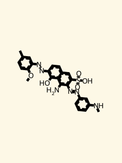 CNc1cccc(N=Nc2c(S(=O)(=O)O)cc3ccc(N=Nc4cc(C)ccc4OC)c(O)c3c2N)c1